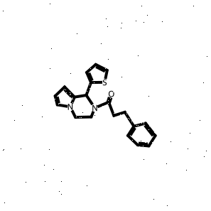 O=C(CCc1ccccc1)N1CCn2cccc2C1c1cccs1